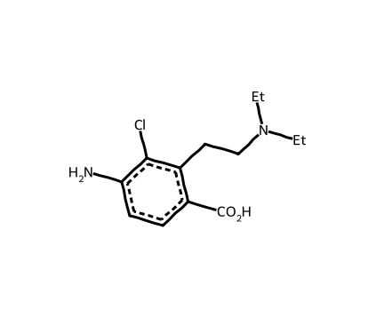 CCN(CC)CCc1c(C(=O)O)ccc(N)c1Cl